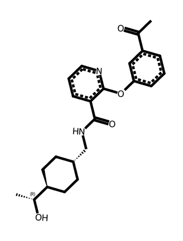 CC(=O)c1cccc(Oc2ncccc2C(=O)NC[C@H]2CC[C@H]([C@@H](C)O)CC2)c1